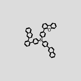 c1ccc(-c2ccc3ccccc3c2)c(-c2ccc(N(c3ccc(-c4ccc5ccccc5c4)cc3)c3ccc(-c4cccc5c4oc4ccccc45)cc3)cc2)c1